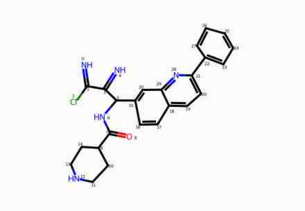 N=C(Cl)C(=N)C(NC(=O)C1CCNCC1)c1ccc2ccc(-c3ccccc3)nc2c1